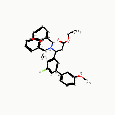 CCOC(=O)CC(c1cc(F)cc(-c2cccc(OC)c2)c1)N(Cc1ccccc1)[C@H](C)c1ccccc1